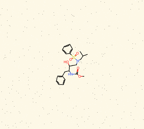 COC(=O)NC(Cc1ccccc1)C(O)CN(CC(C)C)S(=O)(=O)c1ccccc1